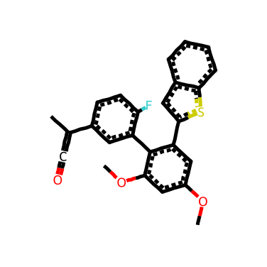 COc1cc(OC)c(-c2cc(C(C)=C=O)ccc2F)c(-c2cc3ccccc3s2)c1